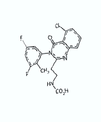 Cc1c(F)cc(F)cc1-n1c(CCNC(=O)O)nc2cccc(Cl)c2c1=O